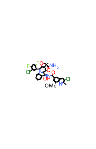 COc1cc(C(=O)NC[C@@](O)(c2ccccc2)c2cc3c(c(-c4cc(Cl)c(F)cc4F)n2)OC[C@]3(C)C(N)=O)cc2cc(Cl)c(C)nc12